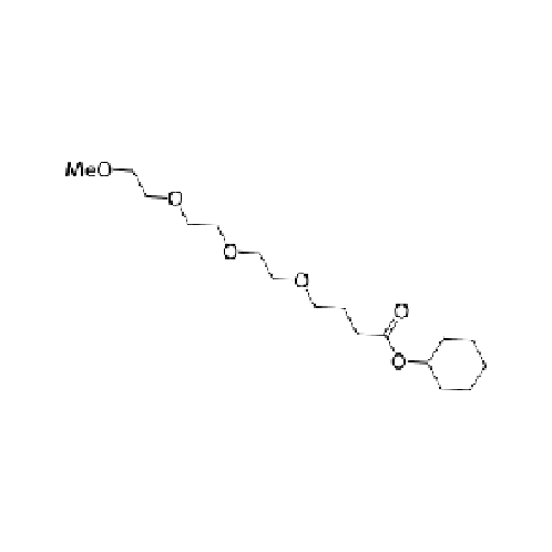 COCCOCCOCCOCCCC(=O)OC1CCCCC1